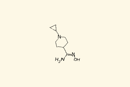 N/C(=N\O)C1CCN(C2CC2)CC1